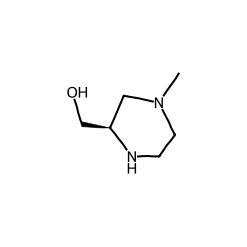 CN1CCN[C@@H](CO)C1